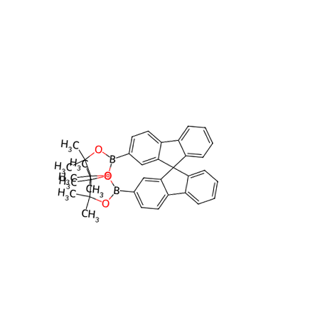 CC1(C)OB(c2ccc3c(c2)C2(c4ccccc4-3)c3ccccc3-c3ccc(B4OC(C)(C)C(C)(C)O4)cc32)OC1(C)C